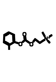 Cc1ccccc1OC(=O)OCC[N+](C)(C)C